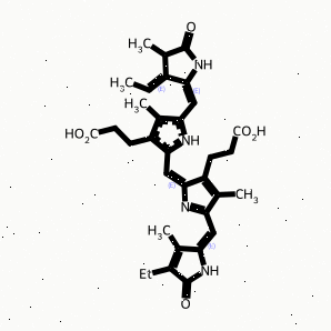 C/C=C1/C(=C\c2[nH]c(/C=C3N=C(/C=C4/NC(=O)C(CC)=C4C)C(C)=C/3CCC(=O)O)c(CCC(=O)O)c2C)NC(=O)C1C